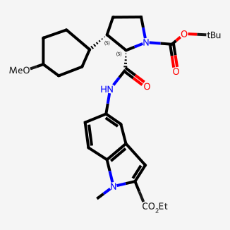 CCOC(=O)c1cc2cc(NC(=O)[C@@H]3[C@H](C4CCC(OC)CC4)CCN3C(=O)OC(C)(C)C)ccc2n1C